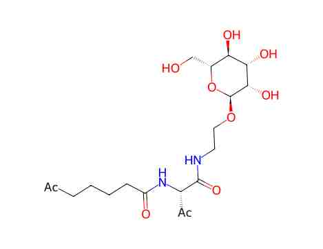 CC(=O)CCCCC(=O)N[C@@H](C(C)=O)C(=O)NCCO[C@H]1O[C@H](CO)[C@@H](O)[C@H](O)[C@@H]1O